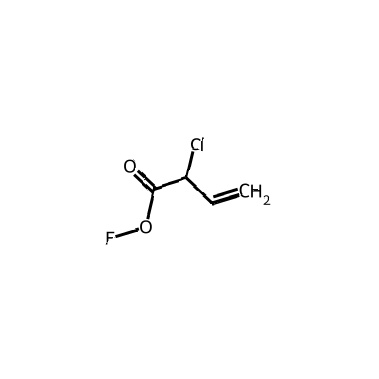 C=CC(Cl)C(=O)OF